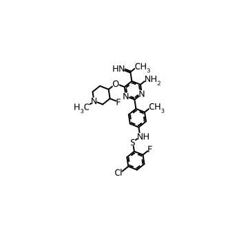 CC(=N)c1c(N)nc(-c2ccc(NSc3cc(Cl)ccc3F)cc2C)nc1OC1CCN(C)CC1F